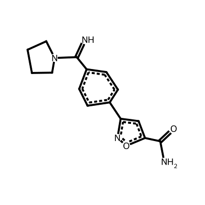 N=C(c1ccc(-c2cc(C(N)=O)on2)cc1)N1CCCC1